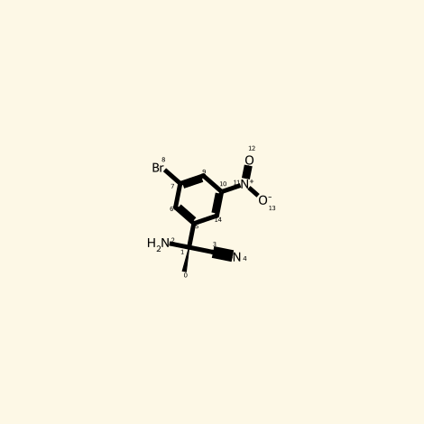 C[C@](N)(C#N)c1cc(Br)cc([N+](=O)[O-])c1